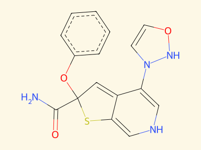 NC(=O)C1(Oc2ccccc2)C=C2C(=CNC=C2N2C=CON2)S1